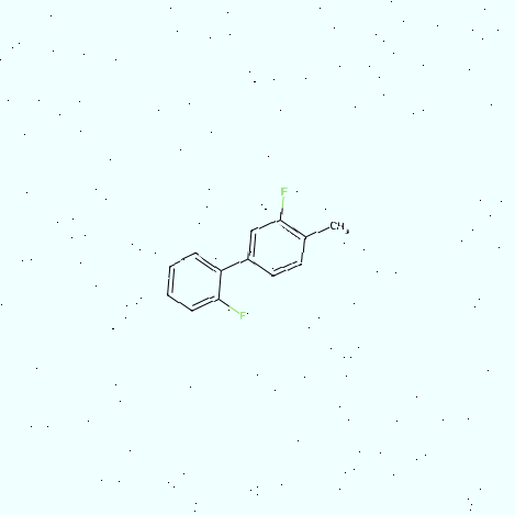 Cc1ccc(-c2ccccc2F)cc1F